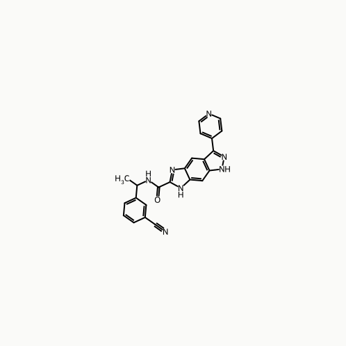 CC(NC(=O)c1nc2cc3c(-c4ccncc4)n[nH]c3cc2[nH]1)c1cccc(C#N)c1